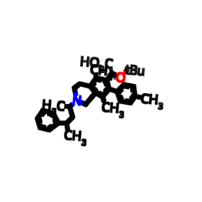 Cc1ccc(-c2c(C)c3c(c(C)c2[C@H](OC(C)(C)C)C(=O)O)CCN(C(C)CC(C)c2ccccc2)C3)cc1